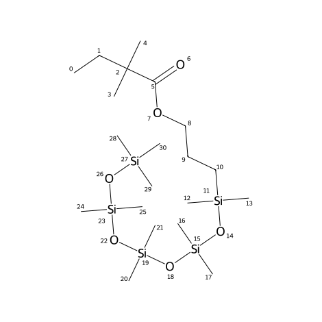 CCC(C)(C)C(=O)OCCC[Si](C)(C)O[Si](C)(C)O[Si](C)(C)O[Si](C)(C)O[Si](C)(C)C